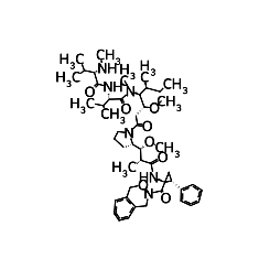 CC[C@H](C)[C@@H]([C@@H](CC(=O)N1CCC[C@H]1[C@H](OC)[C@@H](C)C(=O)N[C@@]1(C(=O)N2Cc3ccccc3CO2)C[C@@H]1c1ccccc1)OC)N(C)C(=O)[C@@H](NC(=O)[C@@H](NC)C(C)C)C(C)C